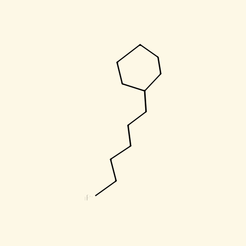 CC(C)CCCCCC1CCCCC1